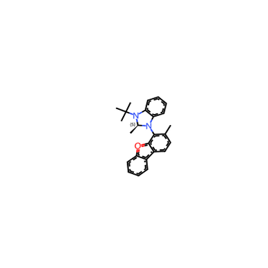 Cc1ccc2c(oc3ccccc32)c1N1c2ccccc2N(C(C)(C)C)[C@@H]1C